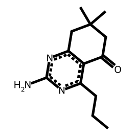 CCCc1nc(N)nc2c1C(=O)CC(C)(C)C2